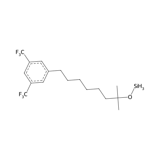 CC(C)(CCCCCCc1cc(C(F)(F)F)cc(C(F)(F)F)c1)O[SiH3]